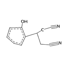 N#CCC(CC#N)c1ccccc1O